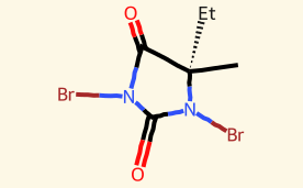 CC[C@@]1(C)C(=O)N(Br)C(=O)N1Br